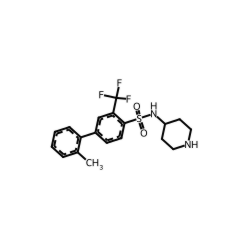 Cc1ccccc1-c1ccc(S(=O)(=O)NC2CCNCC2)c(C(F)(F)F)c1